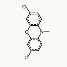 CN1c2ccc(Cl)cc2Oc2cc(Cl)ccc21